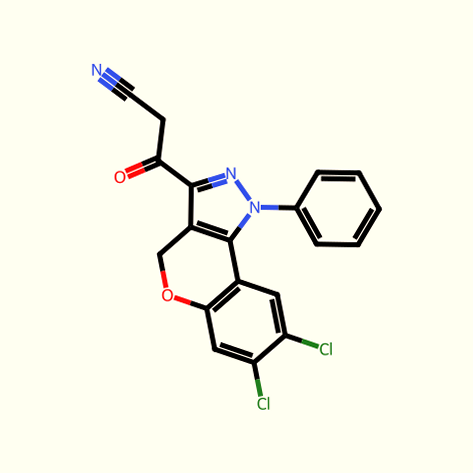 N#CCC(=O)c1nn(-c2ccccc2)c2c1COc1cc(Cl)c(Cl)cc1-2